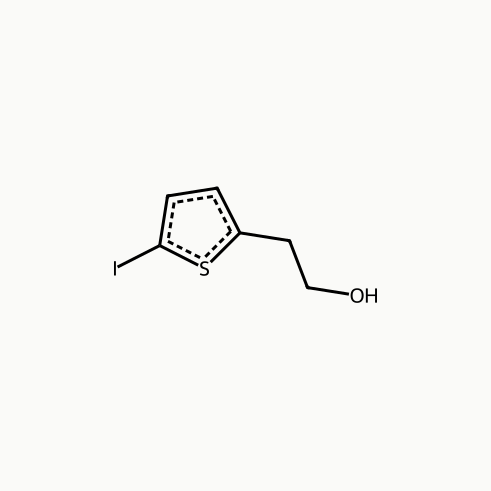 OCCc1ccc(I)s1